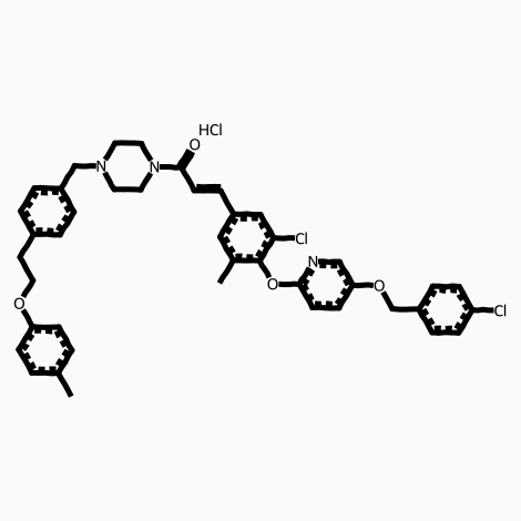 Cc1ccc(OCCc2ccc(CN3CCN(C(=O)C=Cc4cc(C)c(Oc5ccc(OCc6ccc(Cl)cc6)cn5)c(Cl)c4)CC3)cc2)cc1.Cl